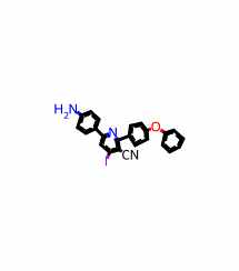 N#Cc1c(I)cc(-c2ccc(N)cc2)nc1-c1ccc(Oc2ccccc2)cc1